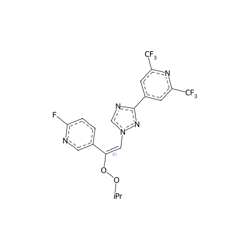 CC(C)OO/C(=C/n1cnc(-c2cc(C(F)(F)F)nc(C(F)(F)F)c2)n1)c1ccc(F)nc1